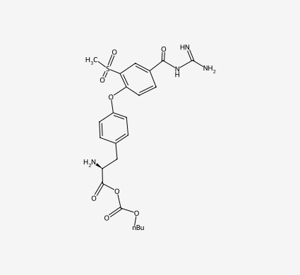 CCCCOC(=O)OC(=O)[C@@H](N)Cc1ccc(Oc2ccc(C(=O)NC(=N)N)cc2S(C)(=O)=O)cc1